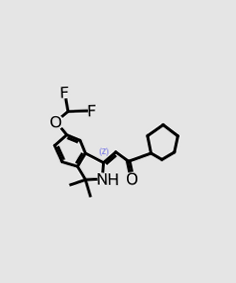 CC1(C)N/C(=C\C(=O)C2CCCCC2)c2cc(OC(F)F)ccc21